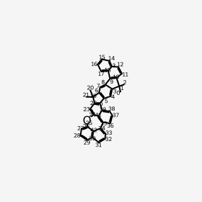 CC1(C)c2cc3c(cc2-c2c1ccc1ccccc21)C(C)(C)c1cc2oc4cccc5cccc(c6cccc(c1-3)c26)c54